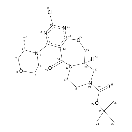 C[C@H]1COCCN1c1nc(Cl)nc2c1C(=O)N1CCN(C(=O)OC(C)(C)C)C[C@@H]1CO2